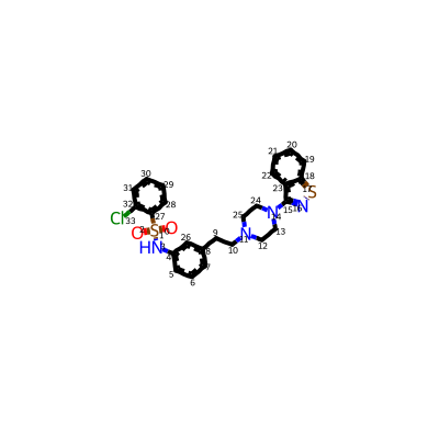 O=S(=O)(Nc1cccc(CCN2CCN(c3nsc4ccccc34)CC2)c1)c1ccccc1Cl